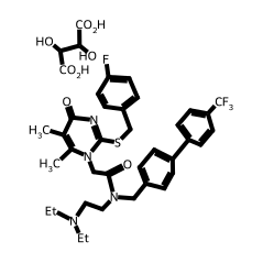 CCN(CC)CCN(Cc1ccc(-c2ccc(C(F)(F)F)cc2)cc1)C(=O)Cn1c(SCc2ccc(F)cc2)nc(=O)c(C)c1C.O=C(O)C(O)C(O)C(=O)O